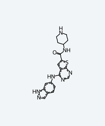 O=C(NC1CCNCC1)c1cc2c(Nc3ccc4cn[nH]c4c3)ncnc2s1